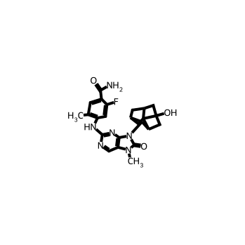 Cc1cc(C(N)=O)c(F)cc1Nc1ncc2c(n1)n(C1C3CC4CC5(O)CC1C45C3)c(=O)n2C